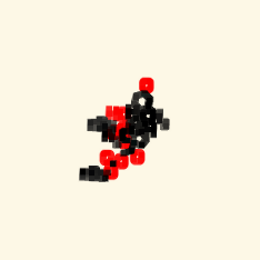 CCCCOC(=O)OCC(=O)[C@@]1(OC(=O)OCCCC)CC[C@H]2[C@@H]3CCC4=CC(=O)CC[C@]4(C)[C@H]3[C@@H](O)C[C@@]21C